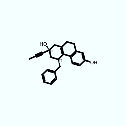 CC#C[C@]1(O)CC2=C(c3ccc(O)cc3CC2)[C@@H](Cc2ccccc2)C1